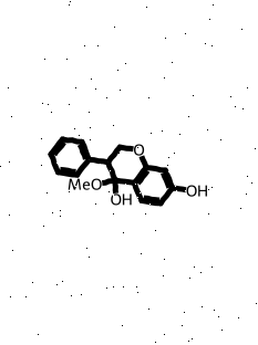 COC1(O)c2ccc(O)cc2OCC1c1ccccc1